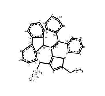 CCC1=CC(CC)=[C]([Zr+2](=[C](c2ccccc2)c2ccccc2)[CH]2c3ccccc3-c3ccccc32)C1.[Cl-].[Cl-]